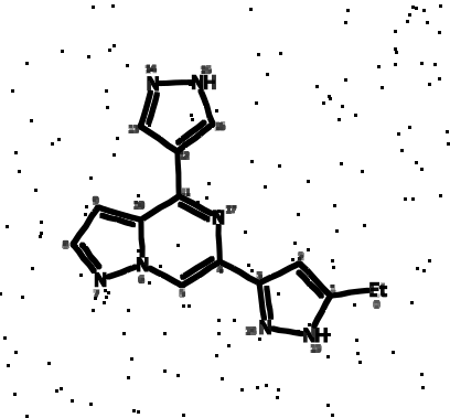 CCc1cc(-c2cn3nccc3c(-c3cn[nH]c3)n2)n[nH]1